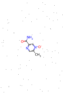 Cc1cnc(C(N)=O)c[n+]1[O-]